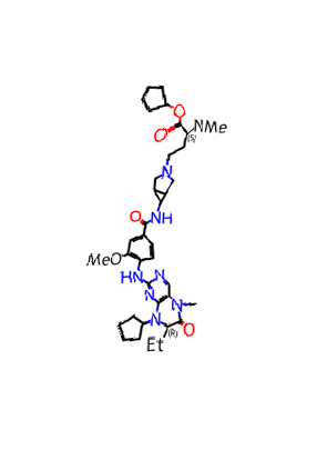 CC[C@@H]1C(=O)N(C)c2cnc(Nc3ccc(C(=O)NC4C5CN(CC[C@H](NC)C(=O)OC6CCCC6)CC54)cc3OC)nc2N1C1CCCC1